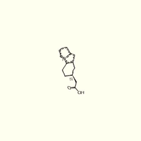 O=C(O)C[C@H]1CCc2c(cc3ccccn23)C1